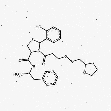 O=C(O)C(Cc1ccccc1)NC(=O)C1CSC(c2ccccc2O)N1C(=O)CCSSCC1CCCO1